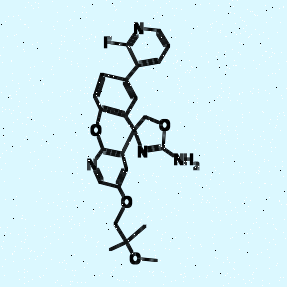 COC(C)(C)COc1cnc2c(c1)C1(COC(N)=N1)c1cc(-c3cccnc3F)ccc1O2